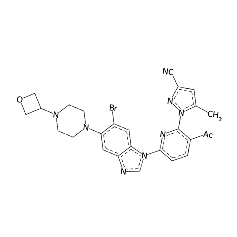 CC(=O)c1ccc(-n2cnc3cc(N4CCN(C5COC5)CC4)c(Br)cc32)nc1-n1nc(C#N)cc1C